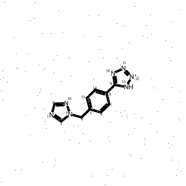 c1ncn(Cc2ccc(C3=NN=[N+]N3)cc2)n1